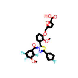 COc1c(OCc2ccc(C(=O)O)o2)cccc1C1SC(c2ccc(F)cc2)=NN1C(=O)c1cc(F)c(F)c(OC)c1F